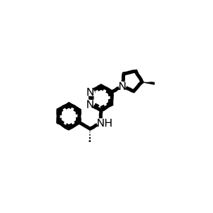 C[C@@H]1CCN(c2cnnc(N[C@H](C)c3ccccc3)c2)C1